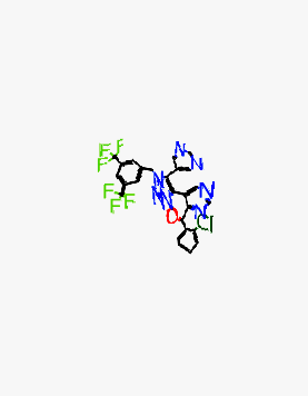 O=C(c1ccccc1Cl)c1ncncc1-c1nnn(Cc2cc(C(F)(F)F)cc(C(F)(F)F)c2)c1-c1cncnc1